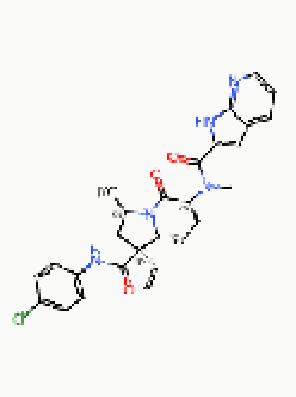 C=C[C@]1(C(=O)Nc2ccc(Cl)cc2)C[C@@H](C#N)N(C(=O)[C@H](CC(C)C)N(C)C(=O)c2cc3cccnc3[nH]2)C1